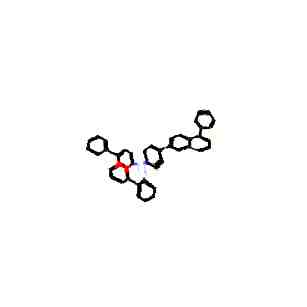 c1ccc(-c2ccc(N(c3ccc(-c4ccc5c(ccc6sc7ccccc7c65)c4)cc3)c3ccccc3-c3ccccc3)cc2)cc1